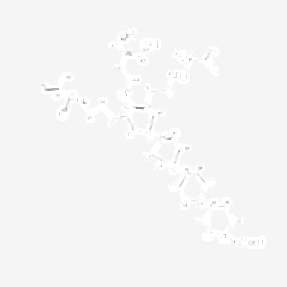 C=C(C)C(=O)OCCCc1cc(-c2ccc(C3=CCC(C4CCC(CCCCC)CC4)C=C3)cc2)cc(CCCOC(=O)C(=C)C)c1OCCC(CO)CO